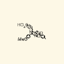 COc1ccc(-c2nc(CN3CCN(C(=O)O)CC3)n3c2cnc2c3ccn2S(=O)(=O)c2ccc(C)cc2)cc1